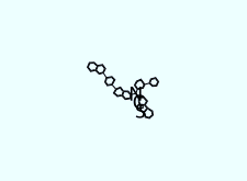 c1ccc(-c2cccc(N(c3ccc4ccc(-c5ccc(-c6ccc7ccccc7c6)cc5)cc4c3)c3ccc4c(c3)sc3ccccc34)c2)cc1